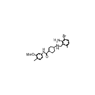 COc1cc(NC(=O)C2CCC(NCc3c(C)ccc(Br)c3N)CC2)ccc1C